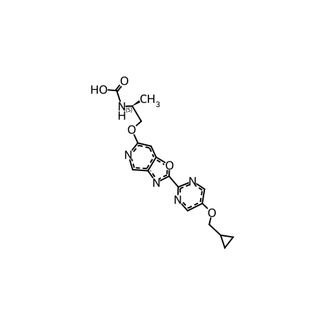 C[C@@H](COc1cc2oc(-c3ncc(OCC4CC4)cn3)nc2cn1)NC(=O)O